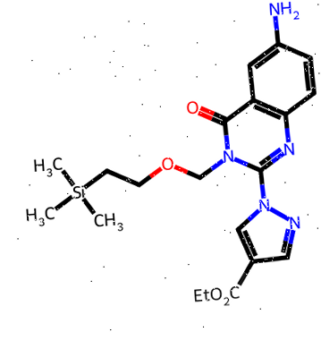 CCOC(=O)c1cnn(-c2nc3ccc(N)cc3c(=O)n2COCC[Si](C)(C)C)c1